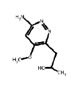 COc1cc(N)nnc1CC(C)O